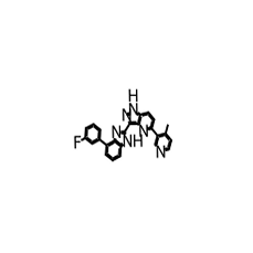 Cc1ccncc1-c1ccc2[nH]nc(-c3nc4c(-c5cccc(F)c5)cccc4[nH]3)c2n1